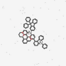 c1ccc(-n2c3ccccc3c3c(-c4ccc(N(c5ccc6c(c5)C(c5ccccc5)(c5ccccc5)c5ccccc5-6)c5ccccc5-c5cccc6cccc(C7CCCCC7)c56)cc4)cccc32)cc1